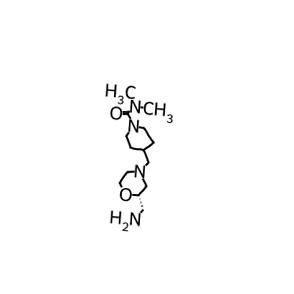 CN(C)C(=O)N1CCC(CN2CCO[C@@H](CN)C2)CC1